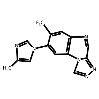 Cc1cn(-c2cc3c(cc2C(F)(F)F)ncc2nncn23)cn1